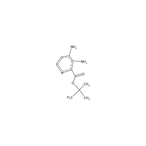 CC(C)(C)OC(=O)c1nccc(N)c1N